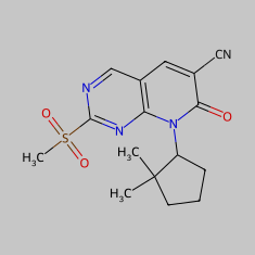 CC1(C)CCCC1n1c(=O)c(C#N)cc2cnc(S(C)(=O)=O)nc21